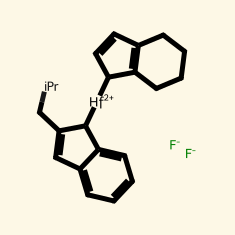 CC(C)CC1=Cc2ccccc2[CH]1[Hf+2][CH]1C=CC2=C1CCCC2.[F-].[F-]